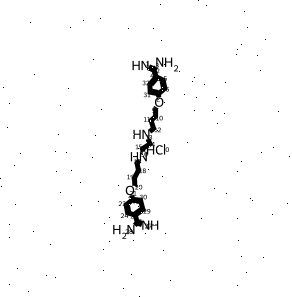 Cl.N=C(N)c1ccc(OCCCCNCCNCCCCOc2ccc(C(=N)N)cc2)cc1